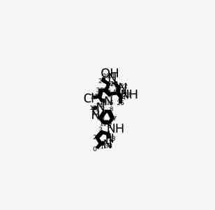 Cc1ccc(Nc2ccc3c(c2)ncn3-c2nc(-c3c(C#N)n[nH]c3C)c(CCO)cc2Cl)nn1